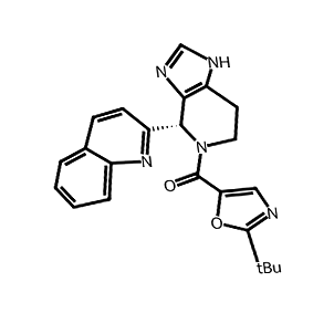 CC(C)(C)c1ncc(C(=O)N2CCc3[nH]cnc3[C@H]2c2ccc3ccccc3n2)o1